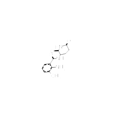 Cc1cccc(C(=O)NC2CCC(=O)NC2=O)c1N